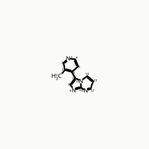 Cc1cnccc1-c1cnc2ncccn12